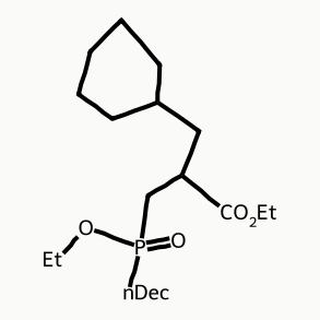 CCCCCCCCCCP(=O)(CC(CC1CCCCC1)C(=O)OCC)OCC